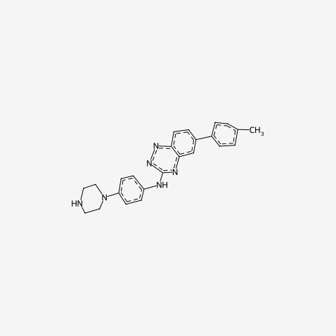 Cc1ccc(-c2ccc3nnc(Nc4ccc(N5CCNCC5)cc4)nc3c2)cc1